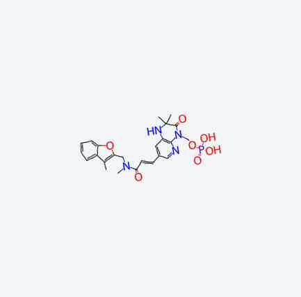 Cc1c(CN(C)C(=O)C=Cc2cnc3c(c2)NC(C)(C)C(=O)N3COP(=O)(O)O)oc2ccccc12